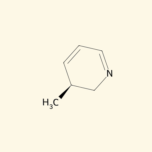 C[C@H]1C=CC=NC1